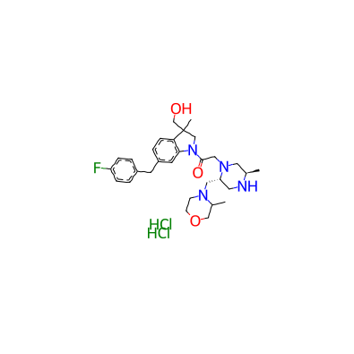 CC1COCCN1C[C@H]1CN[C@H](C)CN1CC(=O)N1CC(C)(CO)c2ccc(Cc3ccc(F)cc3)cc21.Cl.Cl